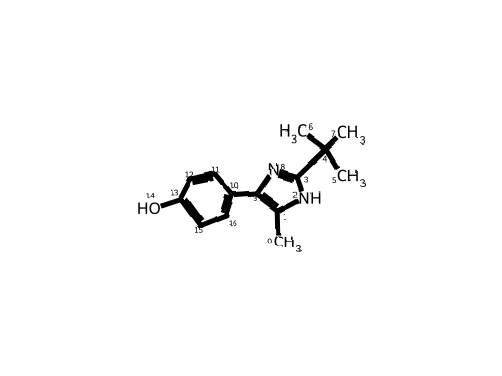 Cc1[nH]c(C(C)(C)C)nc1-c1ccc(O)cc1